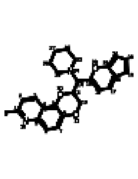 Cc1ccc2c3c(ccc2n1)OCC(C(c1ccc2cccc-2o1)N1CCCCC1)O3